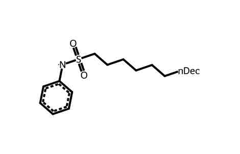 CCCCCCCCCCCCCCCCS(=O)(=O)[N]c1ccccc1